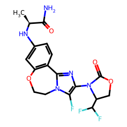 C[C@H](Nc1ccc2c(c1)OCCn1c-2nc(N2C(=O)OCC2C(F)F)c1F)C(N)=O